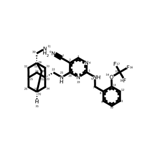 N#Cc1cnc(NCc2ccccc2OC(F)(F)F)nc1NC[C@]12CC3C[C@@H](C[C@@](CN)(C3)C1)C2